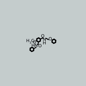 COc1ccc(C(=O)NCCOc2ccccc2)cc1C(=O)NCc1ccccc1